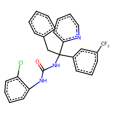 O=C(Nc1ccccc1Cl)NC(Cc1ccccc1)(c1cccc(C(F)(F)F)c1)c1ccccn1